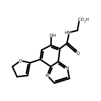 O=C(O)CNC(=O)c1c(O)cc(C2=CCCO2)c2nccnc12